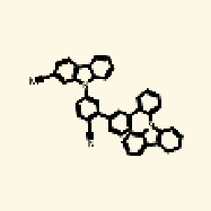 N#Cc1ccc2c(c1)N(c1ccc(C#N)c(-c3cccc(-c4ccccc4-n4c5c(c6ccccc64)CCC=C5)c3)c1)C1C=CC=CC21